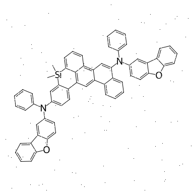 C[Si]1(C)c2cc(N(c3ccccc3)c3ccc4oc5ccccc5c4c3)ccc2-c2cc3c4ccccc4c(N(c4ccccc4)c4ccc5oc6ccccc6c5c4)cc3c3cccc1c23